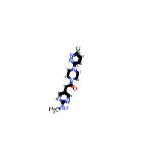 CNc1ncc(CC(=O)N2CCN(c3ccc(Cl)nn3)CC2)cn1